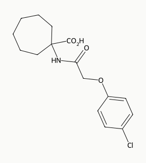 O=C(COc1ccc(Cl)cc1)NC1(C(=O)O)CCCCCC1